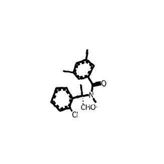 Cc1cc(C)cc(C(=O)N(C)[C@@](C)([C]=O)c2ccccc2Cl)c1